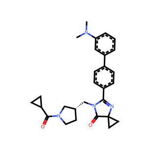 CN(C)c1cccc(-c2ccc(C3=NC4(CC4)C(=O)N3C[C@@H]3CCN(C(=O)C4CC4)C3)cc2)c1